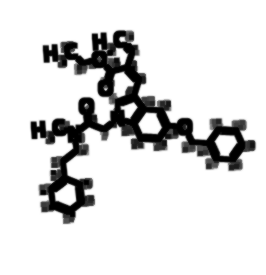 C=CC(=Cc1cn(CC(=O)N(C)CCc2ccccc2)c2ccc(OCc3ccccc3)cc12)C(=O)OCC